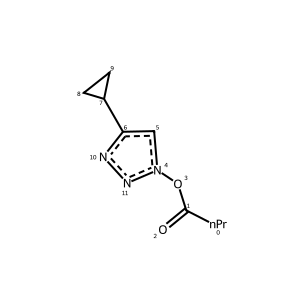 CCCC(=O)On1cc(C2CC2)nn1